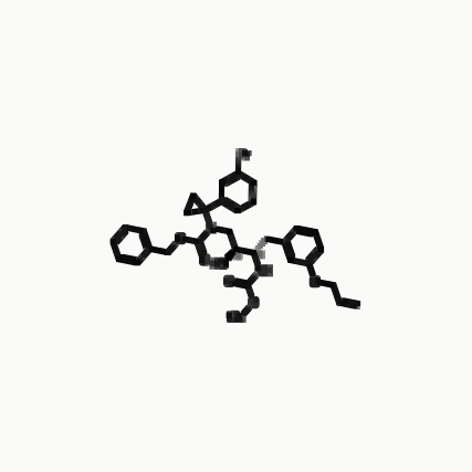 C=CCOc1cccc(C[C@H](NC(=O)OC(C)(C)C)[C@@H](O)CN(C(=O)OCc2ccccc2)C2(c3cccc(C(C)C)c3)CC2)c1